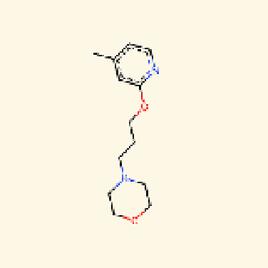 Cc1ccnc(OCCCN2CCOCC2)c1